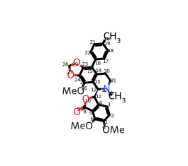 COc1ccc2c(c1OC)C(=O)OC2[C@H]1c2c(c(-c3ccc(C)cc3)c3c(c2OC)OCO3)CCN1C